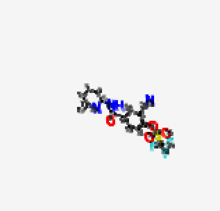 Cc1cccc(NC(=O)c2ccc(OS(=O)(=O)C(F)(F)F)c(C#N)c2)n1